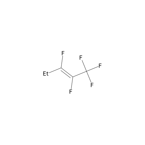 CCC(F)=C(F)C(F)(F)F